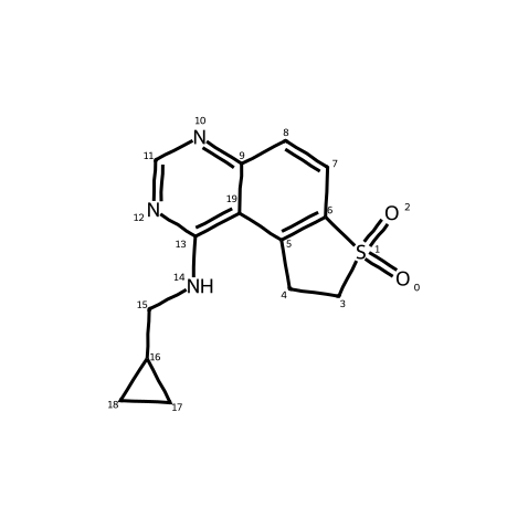 O=S1(=O)CCc2c1ccc1ncnc(NCC3CC3)c21